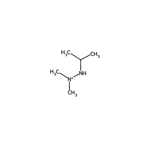 CC(C)N[N+](C)C